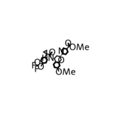 COC(=O)c1ccc([C@@H]2C[C@@H](NC(=O)C3(c4ccc5c(c4)OC(F)(F)O5)CC3)c3ccc(OC)cc3O2)nc1